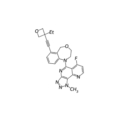 CCC1(C#Cc2cccc3c2COCCN3c2nc3nnn(C)c3c3nccc(F)c23)COC1